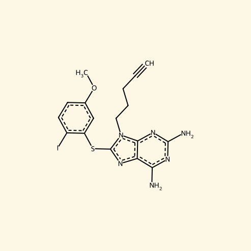 C#CCCCn1c(Sc2cc(OC)ccc2I)nc2c(N)nc(N)nc21